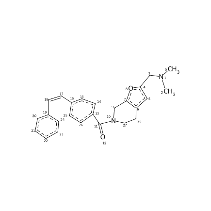 CN(C)Cc1cc2c(o1)CN(C(=O)c1ccc(/C=C\c3ccccc3)cc1)CC2